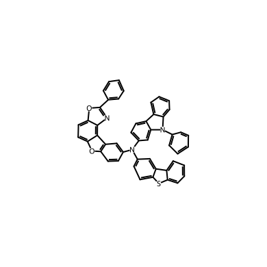 c1ccc(-c2nc3c(ccc4oc5ccc(N(c6ccc7sc8ccccc8c7c6)c6ccc7c8ccccc8n(-c8ccccc8)c7c6)cc5c43)o2)cc1